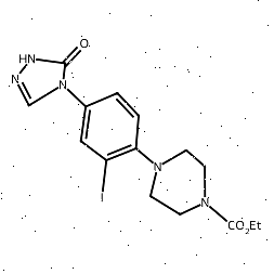 CCOC(=O)N1CCN(c2ccc(-n3cn[nH]c3=O)cc2I)CC1